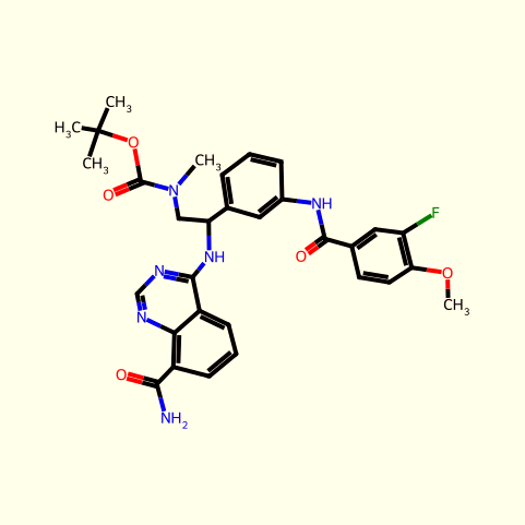 COc1ccc(C(=O)Nc2cccc(C(CN(C)C(=O)OC(C)(C)C)Nc3ncnc4c(C(N)=O)cccc34)c2)cc1F